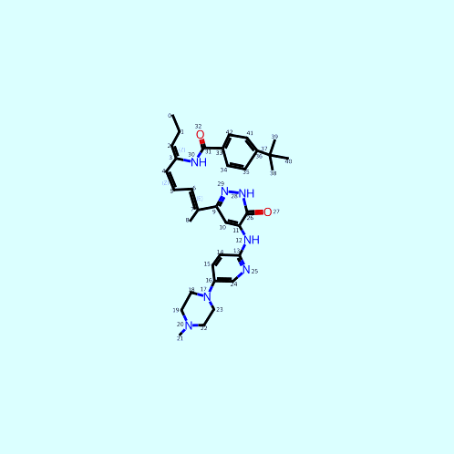 CC/C=C(/C=C\C=C(/C)c1cc(Nc2ccc(N3CCN(C)CC3)cn2)c(=O)[nH]n1)NC(=O)c1ccc(C(C)(C)C)cc1